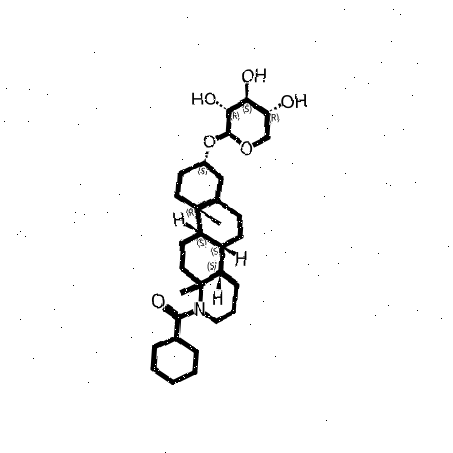 CC12CC[C@H]3[C@H](CCC4C[C@@H](OC5OC[C@@H](O)[C@H](O)[C@H]5O)CC[C@]43C)[C@@H]1CCCN2C(=O)C1CCCCC1